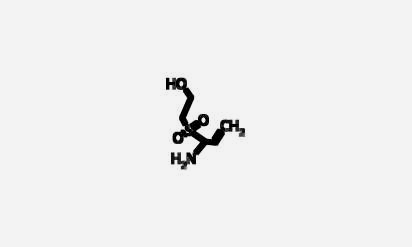 C=CC(N)S(=O)(=O)CCO